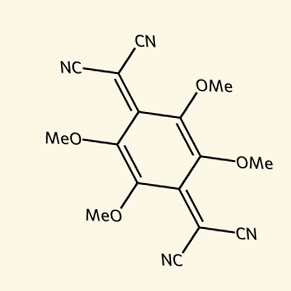 COc1c(OC)c(=C(C#N)C#N)c(OC)c(OC)c1=C(C#N)C#N